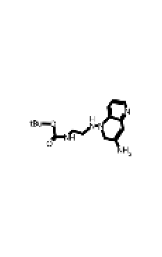 CC(C)(C)OC(=O)NCCNN1CC(N)=Cc2ncccc21